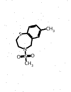 Cc1ccc2c(c1)CN(S(C)(=O)=O)CCS2